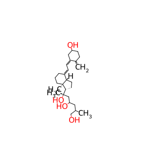 C=C1CC[C@H](O)C/C1=C/C=C1\CCC[C@@]2(C)[C@H]1CC[C@@H]2[C@@](C)(O)CC(O)CC(C)CO